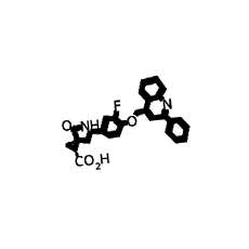 O=C(O)[C@H]1C[C@@]12CC(c1ccc(OCc3cc(-c4ccccc4)nc4ccccc34)c(F)c1)NC2=O